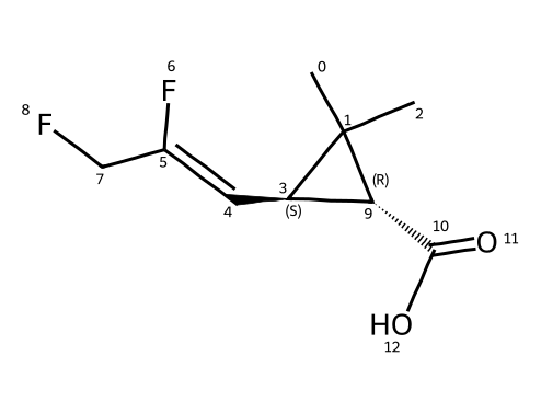 CC1(C)[C@H](C=C(F)CF)[C@H]1C(=O)O